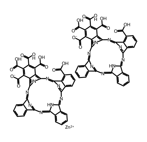 O=C(O)c1cccc2c1-c1nc-2nc2[nH]c(nc3nc(nc4[nH]c(n1)c1c(C(=O)O)c(C(=O)O)c(C(=O)O)c(C(=O)[O-])c41)-c1ccccc1-3)c1ccccc21.O=C(O)c1cccc2c1-c1nc-2nc2[nH]c(nc3nc(nc4[nH]c(n1)c1c(C(=O)O)c(C(=O)O)c(C(=O)O)c(C(=O)[O-])c41)-c1ccccc1-3)c1ccccc21.[Zn+2]